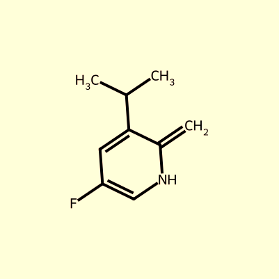 C=C1NC=C(F)C=C1C(C)C